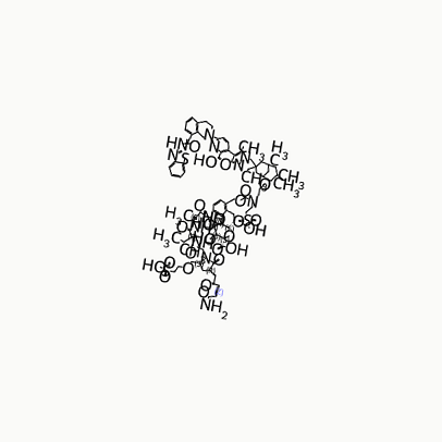 CCC1(Cn2ncc(-c3ccc(N4CCc5cccc(C(=O)Nc6nc7ccccc7s6)c5C4)nc3C(=O)O)c2C)CC2(C)CC(C)(C)CC(OCCN(CCS(=O)(=O)O)C(=O)OCc3ccc(NC(=O)[C@H](C)NC(=O)[C@@H](NC(=O)CN4C(=O)[C@@H](CC(=O)/C=C\C(N)=O)C[C@H]4COCCS(=O)(=O)O)C(C)C)cc3CC[C@@H]3O[C@H](C(=O)O)[C@@H](O)[C@H](O)[C@H]3O)(C2)C1